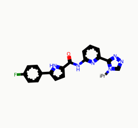 CC(C)n1cnnc1-c1cccc(NC(=O)c2ccc(-c3ccc(F)cc3)[nH]2)n1